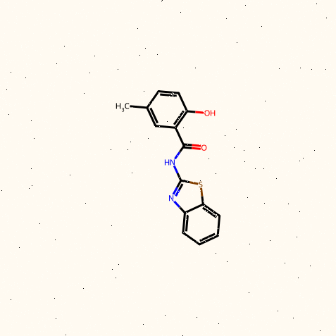 Cc1ccc(O)c(C(=O)Nc2nc3ccccc3s2)c1